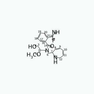 COC(CO)N(CC1C=CC=CCN1)C(=O)c1ccccc1C(=N)F